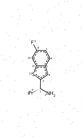 CC(C)[C@@H](N)c1cc2ccc(F)cc2s1